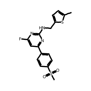 Cc1ccc(CNc2nc(F)cc(-c3ccc(S(C)(=O)=O)cc3)n2)s1